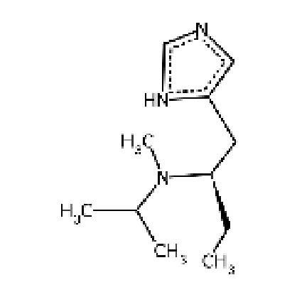 CC[C@H](Cc1cnc[nH]1)N(C)C(C)C